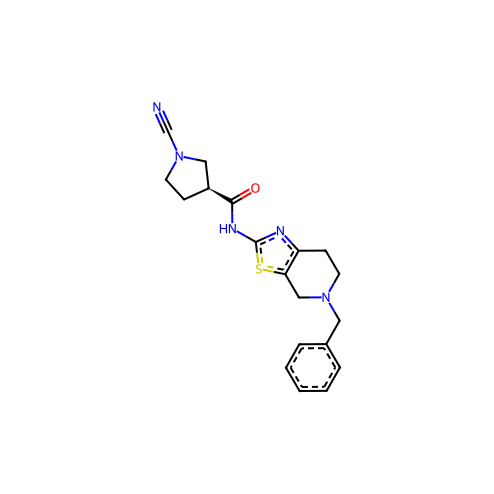 N#CN1CC[C@H](C(=O)Nc2nc3c(s2)CN(Cc2ccccc2)CC3)C1